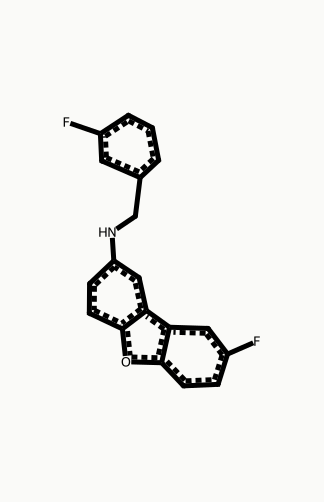 Fc1cccc(CNc2ccc3oc4ccc(F)cc4c3c2)c1